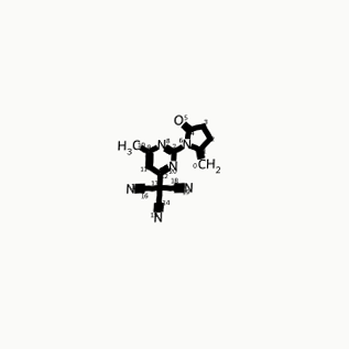 C=C1CCC(=O)N1c1nc(C)cc(C(C#N)(C#N)C#N)n1